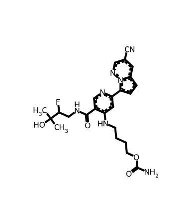 CC(C)(O)C(F)CNC(=O)c1cnc(-c2ccc3cc(C#N)cnn23)cc1NCCCCOC(N)=O